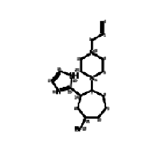 C=CCN1CCN(C2CCCC(Br)CC2c2ncc[nH]2)CC1